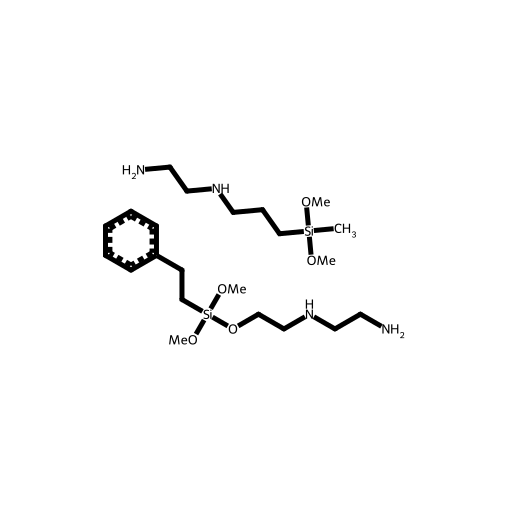 CO[Si](C)(CCCNCCN)OC.CO[Si](CCc1ccccc1)(OC)OCCNCCN